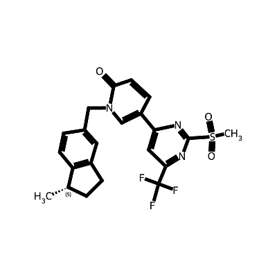 C[C@H]1CCc2cc(Cn3cc(-c4cc(C(F)(F)F)nc(S(C)(=O)=O)n4)ccc3=O)ccc21